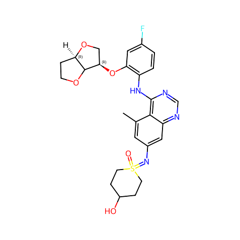 Cc1cc(N=S2(=O)CCC(O)CC2)cc2ncnc(Nc3ccc(F)cc3O[C@@H]3CO[C@@H]4CCOC43)c12